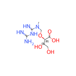 CN(CO[C@@H](C(=O)O)[C@@H](O)CO)C(=N)NC(=N)N